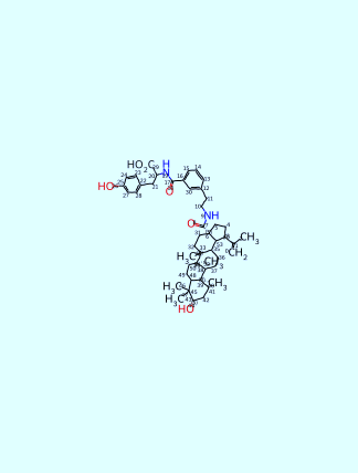 C=C(C)[C@@H]1CC[C@]2(C(=O)NCCc3cccc(C(=O)NC(Cc4ccc(O)cc4)C(=O)O)c3)CC[C@]3(C)C(CCC4[C@@]5(C)CC[C@H](O)C(C)(C)C5CC[C@]43C)C12